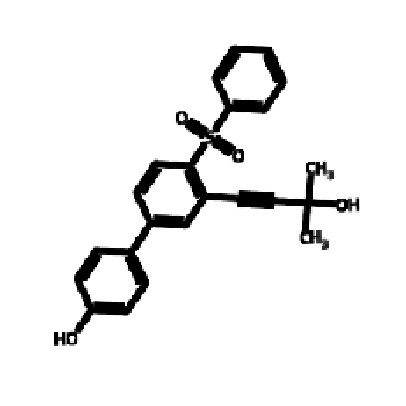 CC(C)(O)C#Cc1cc(-c2ccc(O)cc2)ccc1S(=O)(=O)c1ccccc1